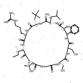 CC[C@H](C)[C@@H]1NC(=O)[C@@H](CCCNC(=N)N)NC(=O)[C@H](CC(C)(C)C)NC(=O)[C@H]([C@H](O)C(C)C)NC(=O)[C@@H](N)[C@@H](c2ccccc2)NC(=O)C(CO)NC(=O)[C@H](CO)NC(=O)CNC(=O)[C@H]([C@H](C)O)NC1=O